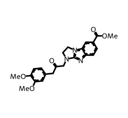 COC(=O)c1ccc2nc3n(c2c1)CCN3CC(=O)Cc1ccc(OC)c(OC)c1